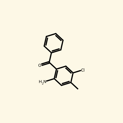 Cc1cc(N)c(C(=O)c2ccccc2)cc1Cl